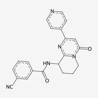 N#Cc1cccc(C(=O)NC2CCCn3c2nc(-c2ccncc2)cc3=O)c1